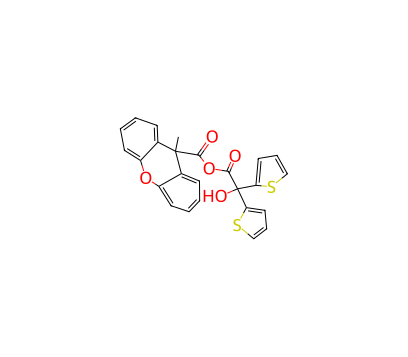 CC1(C(=O)OC(=O)C(O)(c2cccs2)c2cccs2)c2ccccc2Oc2ccccc21